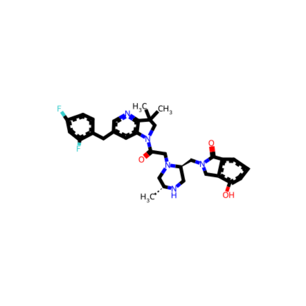 C[C@@H]1CN(CC(=O)N2CC(C)(C)c3ncc(Cc4ccc(F)cc4F)cc32)[C@@H](CN2Cc3c(O)cccc3C2=O)CN1